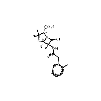 CC1(C)S[C@H]2N(C(=O)C2(C)NC(=O)Cc2ccccc2I)[C@H]1C(=O)O